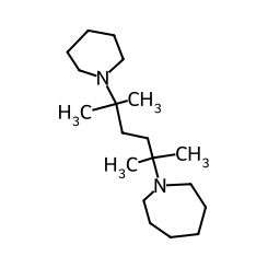 CC(C)(CCC(C)(C)N1CCCCC1)N1CCCCCC1